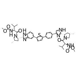 COC(=O)N[C@H](C(=O)N1C[C@@H](C)C[C@H]1c1nc(-c2ccc(-c3ccc(-c4ccc5[nH]c([C@@H]6C[C@H](C)CN6C(=O)[C@@H](NC(=O)OC)C(C)C)nc5c4)s3)cc2)c[nH]1)C(C)C